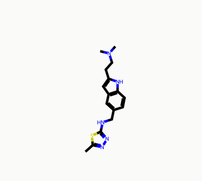 Cc1nnc(NCc2ccc3[nH]c(CCN(C)C)cc3c2)s1